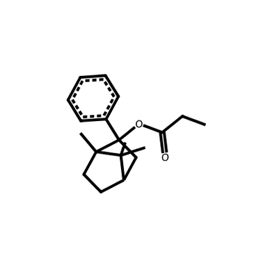 CCC(=O)OC1(c2ccccc2)CC2CCC1(C)C2(C)C